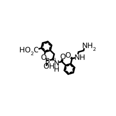 NCCNC(=O)c1ccccc1C(=O)N[C@H]1Cc2cccc(C(=O)O)c2OB1O